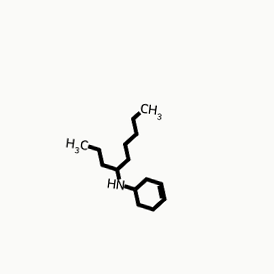 CCCCCC(CCC)NC1CC=CCC1